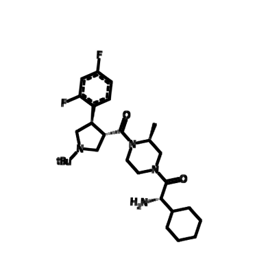 C[C@H]1CN(C(=O)[C@@H](N)C2CCCCC2)CCN1C(=O)[C@@H]1CN(C(C)(C)C)C[C@H]1c1ccc(F)cc1F